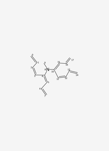 C=C/C=C\C(=C/C=C)N(C)C(/C=C\C=C)=C/C=C